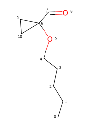 CCCCCOC1([C]=O)CC1